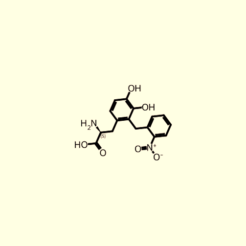 N[C@@H](Cc1ccc(O)c(O)c1Cc1ccccc1[N+](=O)[O-])C(=O)O